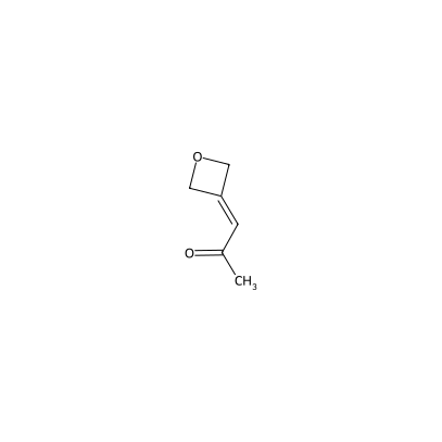 CC(=O)C=C1COC1